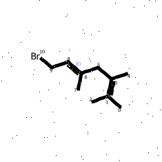 CC(C)=C(C)C/C(C)=C/CBr